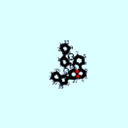 c1ccc(-c2ccccc2N(c2cccc3c2oc2ccccc23)c2cccc3c2oc2c4ccccc4ccc32)cc1